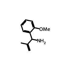 C=C(C)C(N)c1ccccc1OC